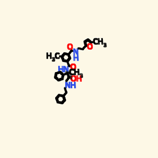 Cc1cc(C(=O)NCCc2ccc(C)o2)cc(C(=O)N[C@@](C)(c2ccccc2)[C@H](O)CNCCc2ccccc2)c1